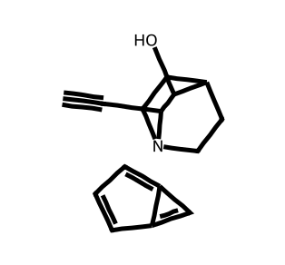 C#CC1C(O)C2CCN1CC2.c1cc2cc-2c1